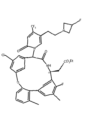 CCOC(=O)C[C@@H]1NC(=O)C(n2cc(CCN3CC(F)C3)c(C(F)(F)F)cc2=O)c2cc(Cl)cc(c2)Oc2cccc(C)c2-c2cc(C)c(F)c1c2